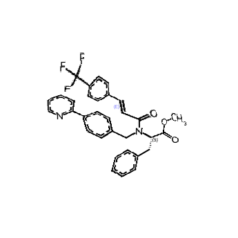 COC(=O)[C@H](Cc1ccccc1)N(Cc1ccc(-c2ccccn2)cc1)C(=O)/C=C/c1ccc(C(F)(F)F)cc1